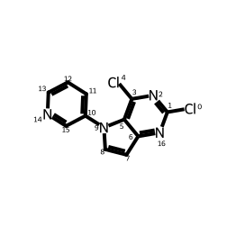 Clc1nc(Cl)c2c(ccn2-c2cccnc2)n1